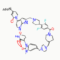 CNc1ccn(-c2ccnc3c2cc(CN2CCC(c4c(F)cc(C(=O)N5CCC(CN6CCN(Cc7ccc8c(c7)n(C)c(=O)n8C7CCC(=O)NC7=O)CC6)CC5)cc4F)CC2)n3C)c(=O)c1